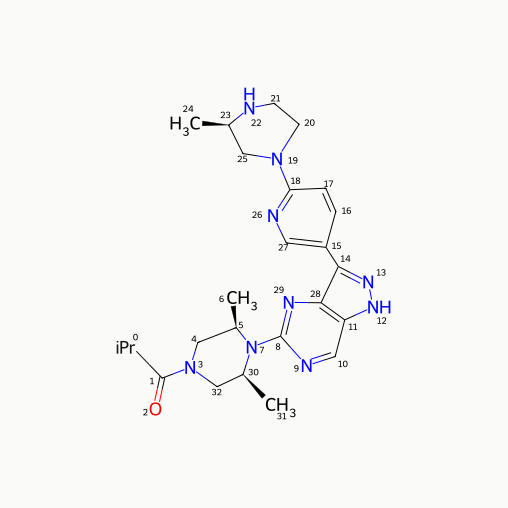 CC(C)C(=O)N1C[C@@H](C)N(c2ncc3[nH]nc(-c4ccc(N5CCN[C@H](C)C5)nc4)c3n2)[C@@H](C)C1